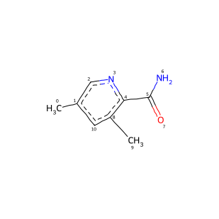 Cc1cnc(C(N)=O)c(C)c1